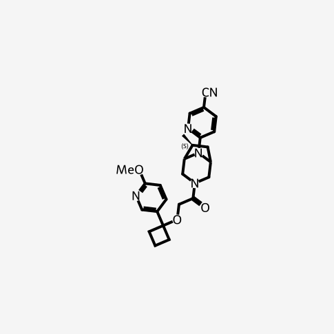 COc1ccc(C2(OCC(=O)N3CC4C[C@H](C)C(C3)N4c3ccc(C#N)cn3)CCC2)cn1